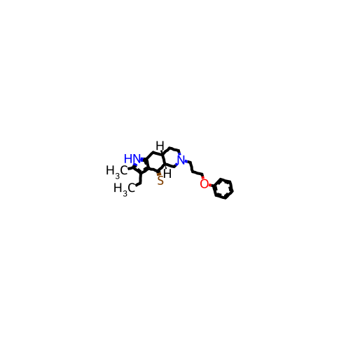 CCc1c(C)[nH]c2c1C(=S)[C@@H]1CN(CCCOc3ccccc3)CC[C@H]1C2